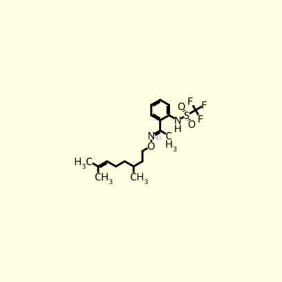 CC(C)=CCCC(C)CCO/N=C(\C)c1ccccc1NS(=O)(=O)C(F)(F)F